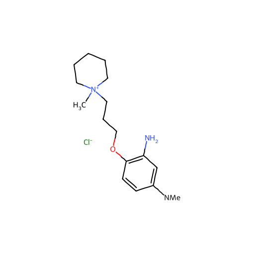 CNc1ccc(OCCC[N+]2(C)CCCCC2)c(N)c1.[Cl-]